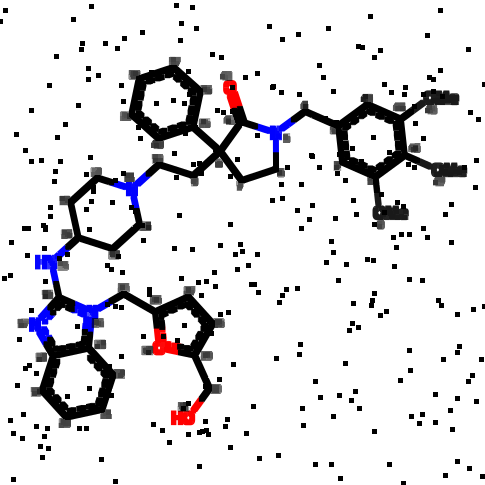 COc1cc(CN2CCC(CCN3CCC(Nc4nc5ccccc5n4Cc4ccc(CO)o4)CC3)(c3ccccc3)C2=O)cc(OC)c1OC